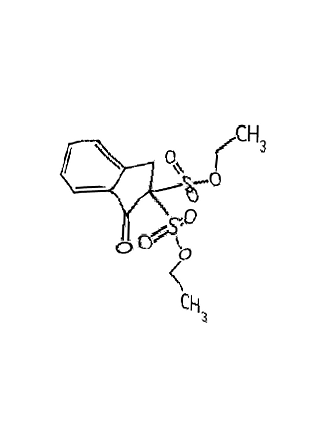 CCOS(=O)(=O)C1(S(=O)(=O)OCC)Cc2ccccc2C1=O